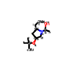 COC[C@H]1C[C@H](O[Si](C)(C)C(C)(C)C)CN1B(C)O